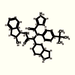 CC(C)(C)c1ccc(N(C(=O)c2c[nH]cn2)C(C(=O)N[C@@H]2c3ccccc3C[C@@H]2O)C2CCC3OCCC3C2)cc1